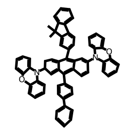 CC1(C)c2ccccc2-c2ccc(-c3c4c(c(-c5ccc(-c6ccccc6)cc5)c5ccc(N6c7ccccc7Oc7ccccc76)cc35)=CC(N3c5ccccc5Oc5ccccc53)CC=4)cc21